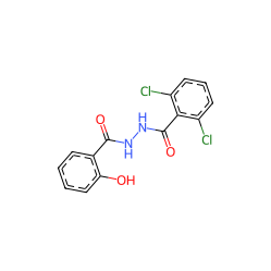 O=C(NNC(=O)c1c(Cl)cccc1Cl)c1ccccc1O